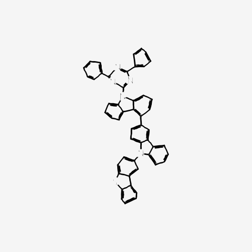 c1ccc(-c2nc(-c3ccccc3)nc(-n3c4ccccc4c4c(-c5ccc6c(c5)c5ccccc5n6-c5ccc6sc7ccccc7c6c5)cccc43)n2)cc1